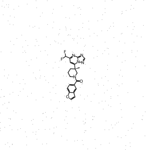 C[C@]1(c2cc(C(F)F)nc3ncnn23)CCCN(C(=O)c2ccc3occc3c2)C1